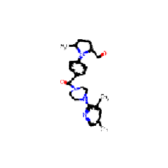 Cc1cnc(N2CCN(C(=O)c3ccc(N4C(C)CCC4C=O)cc3)CC2)c(C)c1